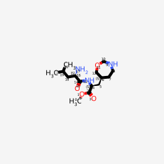 COC(=O)[C@H](C[C@@H]1CCNCOC1)NC(=O)[C@@H](N)CC(C)C